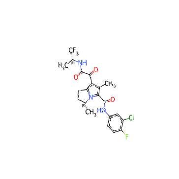 Cc1c(C(=O)C(=O)N[C@H](C)C(F)(F)F)c2n(c1C(=O)Nc1ccc(F)c(Cl)c1)[C@H](C)CC2